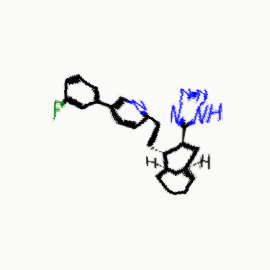 Fc1cccc(-c2ccc(/C=C/[C@H]3[C@@H]4CCCC[C@@H]4C[C@@H]3c3nnn[nH]3)nc2)c1